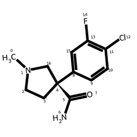 CN1C[CH][C@@](C(N)=O)(c2ccc(Cl)c(F)c2)C1